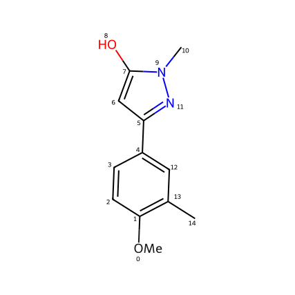 COc1ccc(-c2cc(O)n(C)n2)cc1C